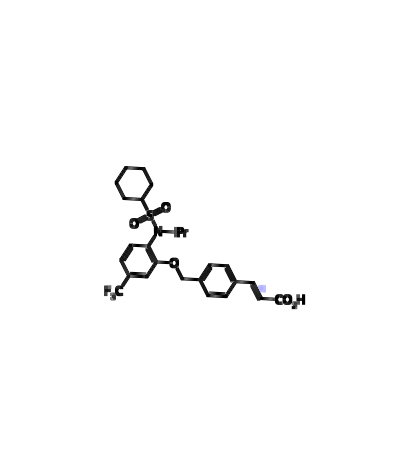 CC(C)N(c1ccc(C(F)(F)F)cc1OCc1ccc(/C=C/C(=O)O)cc1)S(=O)(=O)C1CCCCC1